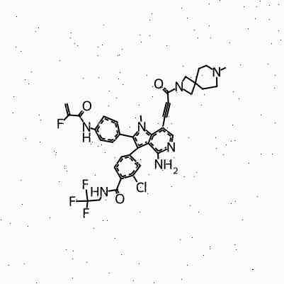 C=C(F)C(=O)Nc1ccc(-c2c(-c3ccc(C(=O)NCC(F)(F)F)c(Cl)c3)c3c(N)ncc(C#CC(=O)N4CC5(CCN(C)CC5)C4)c3n2C)cc1